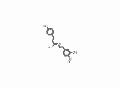 CC(CCc1ccc(O)cc1)NCCc1ccc(N=O)c(O)c1